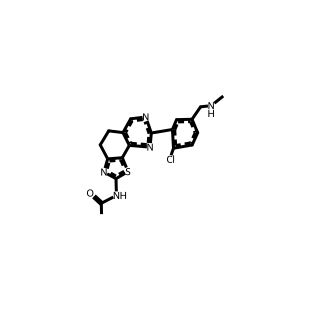 CNCc1ccc(Cl)c(-c2ncc3c(n2)-c2sc(NC(C)=O)nc2CC3)c1